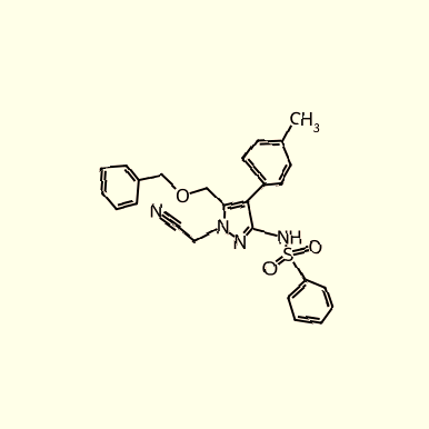 Cc1ccc(-c2c(NS(=O)(=O)c3ccccc3)nn(CC#N)c2COCc2ccccc2)cc1